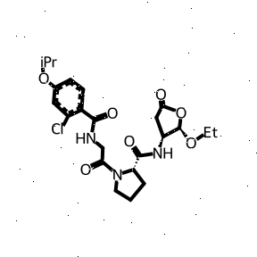 CCO[C@@H]1OC(=O)C[C@@H]1NC(=O)[C@@H]1CCCN1C(=O)CNC(=O)c1ccc(OC(C)C)cc1Cl